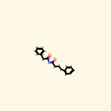 O=C(CCCc1ccccc1)[N]C(=O)Cc1ccccc1